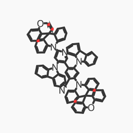 N#Cc1cc(-c2cnc(N3c4ccccc4C4(c5ccccc5Oc5ccccc54)c4ccccc43)cc2-n2c3ccccc3c3ccccc32)c(-n2c3ccccc3c3ccccc32)cc1N1c2ccccc2C2(c3ccccc3Oc3ccccc32)c2ccccc21